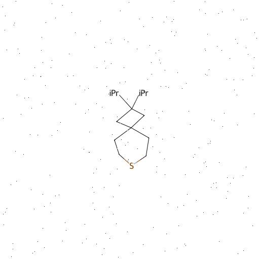 CC(C)C1(C(C)C)CC2(CCSCC2)C1